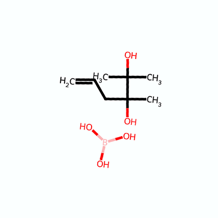 C=CCC(C)(O)C(C)(C)O.OB(O)O